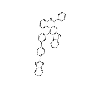 c1ccc(-c2nc3ccccc3c3c(-c4cccc(-c5ccc(-c6nc7ccccc7s6)cc5)c4)c4c(cc23)oc2ccccc24)cc1